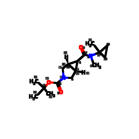 CN(C(=O)C1[C@H]2CN(C(=O)OC(C)(C)C)C[C@@H]12)C1(C)CC1